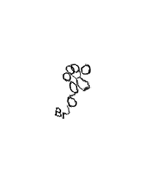 COC(=O)c1cccc(OCCOCCBr)c1C(=O)OC